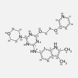 Cc1[nH]c2cc(Nc3nc(OCCOc4cccnc4)nc(N4CCOCC4)n3)ccc2c1C